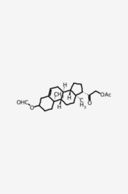 CC(=O)OCC(=O)[C@H]1CC[C@H]2[C@@H]3CC=C4CC(OC=O)CC[C@]4(C)[C@H]3CC[C@]12C